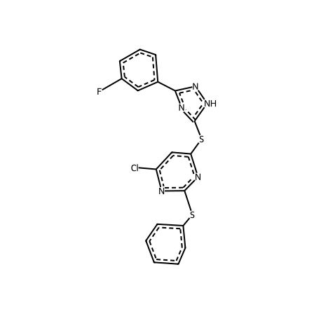 Fc1cccc(-c2n[nH]c(Sc3cc(Cl)nc(Sc4ccccc4)n3)n2)c1